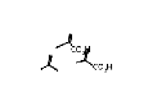 C=C(C)C.C=C(C)C(=O)O.C=C(C)C(=O)O